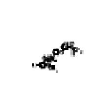 CNC(=O)c1cc(Oc2cccc(C(=O)NNC(=O)c3cc(Cl)ccc3OC)c2)ccn1